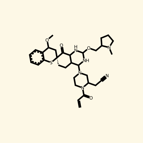 C=CC(=O)N1CCN(C2NC(OCC3CCCN3C)NC3C(=O)[C@]4(CCC32)CC(OC)c2ccccc2S4)CC1CC#N